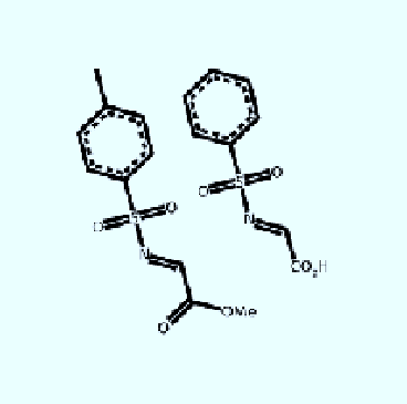 COC(=O)C=NS(=O)(=O)c1ccc(C)cc1.O=C(O)C=NS(=O)(=O)c1ccccc1